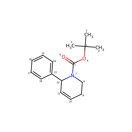 CC(C)(C)OC(=O)N1CCC=CC1c1ccccc1